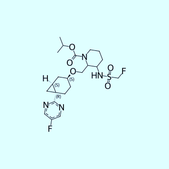 CC(C)OC(=O)N1CCCC(NS(=O)(=O)CF)C1CO[C@H]1CC[C@@]2(c3ncc(F)cn3)C[C@H]2C1